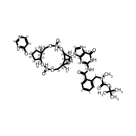 CN(Cc1ccccc1C(=O)Nc1nc2c(ncn2[C@@H]2O[C@@H]3CO[PH](=O)O[C@H]4C[C@H](Oc5ccncn5)C[C@@H]4CO[PH](=O)O[C@@H]2[C@@H]3O)c(=O)[nH]1)C(=O)OC(C)(C)C